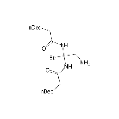 CCCCCCCCCCCC(=O)NC(CC)(CN)NC(=O)CCCCCCCCCCC